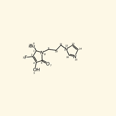 CCC(C)C1C(F)=C(O)C(=O)N1CCCn1ccnc1